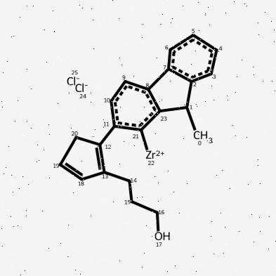 CC1c2ccccc2-c2ccc(C3=C(CCCO)C=CC3)[c]([Zr+2])c21.[Cl-].[Cl-]